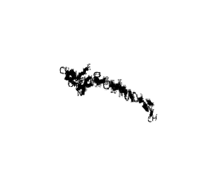 C#CCN1CCN(CCOCCOCCCCCOCCC(=O)N2CCC(C=O)(c3ccncc3N(C)Cc3nc4cc(Cl)ccc4n3CCCCF)CC2)CC1